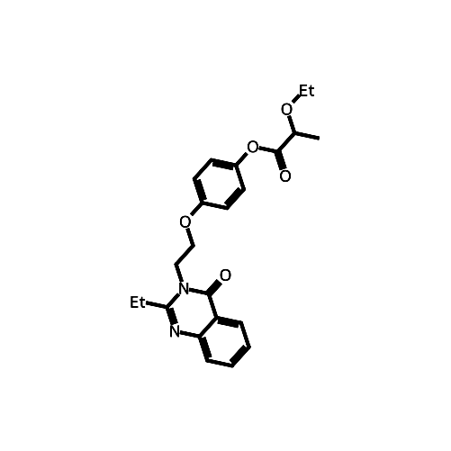 CCOC(C)C(=O)Oc1ccc(OCCn2c(CC)nc3ccccc3c2=O)cc1